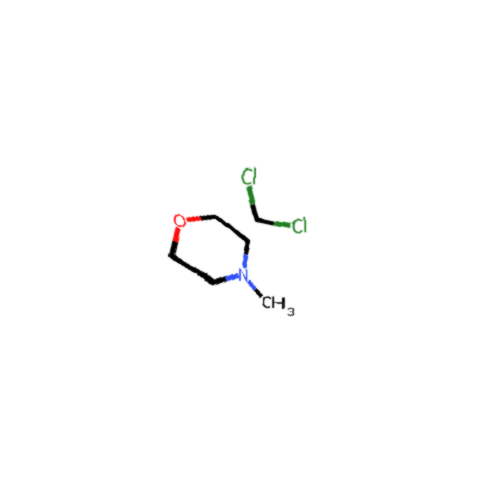 CN1CCOCC1.ClCCl